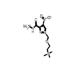 C[Si](C)(C)CCOCn1cc([N+](=O)[O-])c(C(=O)NN)n1